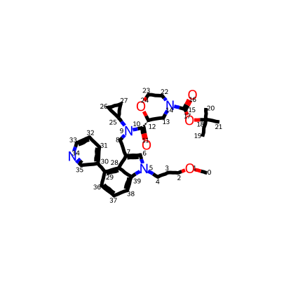 COCCCn1cc(CN(C(=O)[C@H]2CN(C(=O)OC(C)(C)C)CCO2)C2CC2)c2c(-c3cccnc3)cccc21